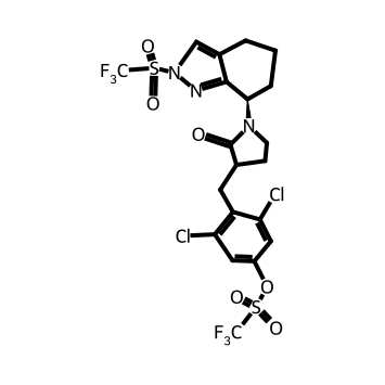 O=C1C(Cc2c(Cl)cc(OS(=O)(=O)C(F)(F)F)cc2Cl)CCN1[C@@H]1CCCc2cn(S(=O)(=O)C(F)(F)F)nc21